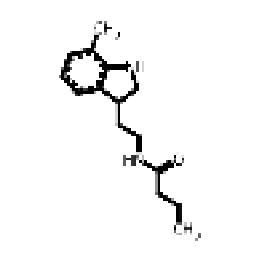 CCCC(=O)NCCC1CNc2c(C)cccc21